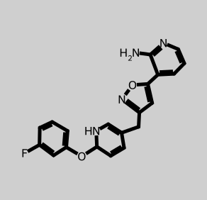 Nc1ncccc1-c1cc(CC2=CNC(Oc3cccc(F)c3)C=C2)no1